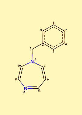 C1=CN(Cc2ccccc2)C=CN=C1